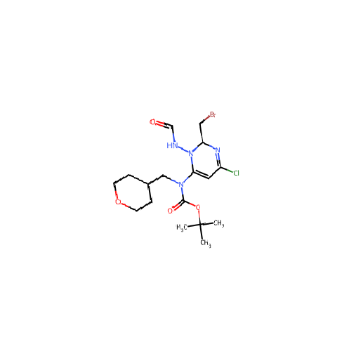 CC(C)(C)OC(=O)N(CC1CCOCC1)C1=CC(Cl)=NC(CBr)N1NC=O